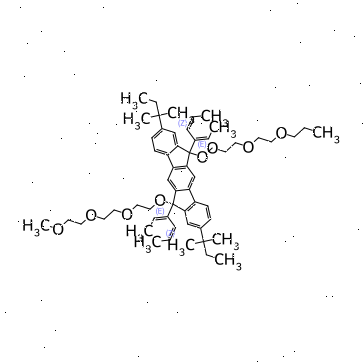 C/C=C\C(=C/C)C1(OCCOCCOCCOC)c2cc(C(C)(C)CC)ccc2-c2cc3c(cc21)-c1ccc(C(C)(C)CC)cc1C3(OOCCOCCOCCC)C(/C=C\C)=C/C